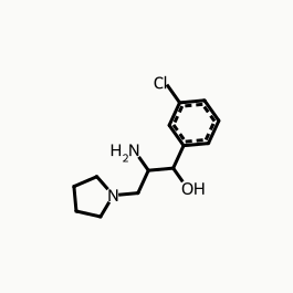 NC(CN1CCCC1)C(O)c1cccc(Cl)c1